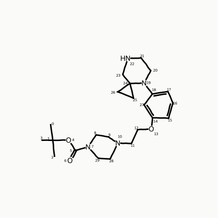 CC(C)(C)OC(=O)N1CCN(CCOc2cccc(N3CCNCC34CC4)c2)CC1